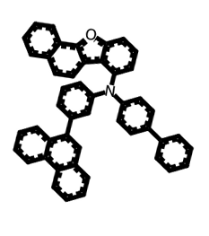 c1ccc(-c2ccc(N(c3cccc(-c4cc5ccccc5c5ccccc45)c3)c3cccc4oc5c6ccccc6ccc5c34)cc2)cc1